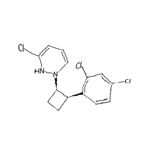 ClC1=CC=CN([C@@H]2CC[C@@H]2c2ccc(Cl)cc2Cl)N1